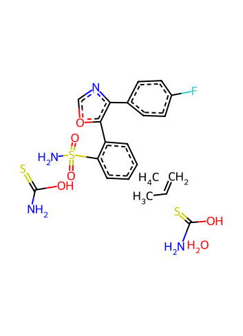 C.C=CC.NC(O)=S.NC(O)=S.NS(=O)(=O)c1ccccc1-c1ocnc1-c1ccc(F)cc1.O